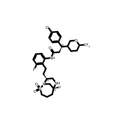 O=C([CH][C@@H](c1ccc(Cl)cc1)C1CCC(C(F)(F)F)OC1)Nc1cccc(F)c1CC[C@H]1CN[C@@H]2CCCS(=O)(=O)N1C2